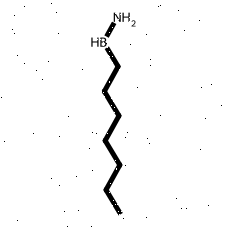 CCCCCCCBN